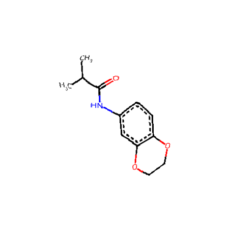 CC(C)C(=O)Nc1ccc2c(c1)OCCO2